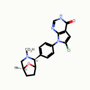 O=C(O)N1C[C@@H]2CCC(O2)[C@@H]1c1ccc(-n2c(Cl)cc3c(=O)[nH]cnc32)cc1